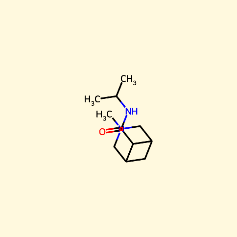 CC(C)NC(=O)C1C2CC1CN(C)C2